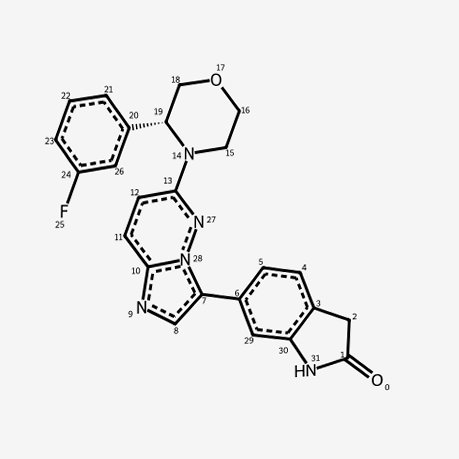 O=C1Cc2ccc(-c3cnc4ccc(N5CCOC[C@H]5c5cccc(F)c5)nn34)cc2N1